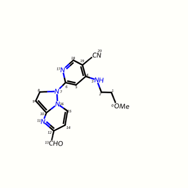 COCCNc1cc(N2CC=C3N=C(C=O)C=CN32)ncc1C#N